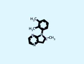 Cc1cccc(N2c3nccnc3C[C@H]2C)c1C